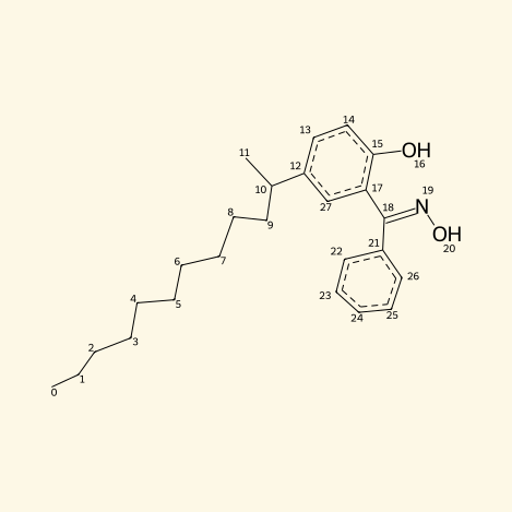 CCCCCCCCCCC(C)c1ccc(O)c(C(=NO)c2ccccc2)c1